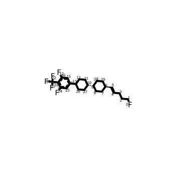 FCCC/C=C/[C@H]1CC[C@H](C2CCC(c3cc(F)c(C(F)(F)F)c(F)c3)CC2)CC1